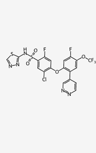 O=S(=O)(Nc1nncs1)c1cc(Cl)c(Oc2cc(F)c(OC(F)(F)F)cc2-c2ccnnc2)cc1F